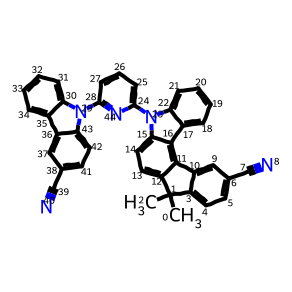 CC1(C)c2ccc(C#N)cc2-c2c1ccc1c2c2ccccc2n1-c1cccc(-n2c3ccccc3c3cc(C#N)ccc32)n1